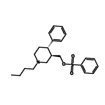 CCCCN1CC[C@H](c2ccccc2)[C@@H](COS(=O)(=O)c2ccccc2)C1